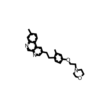 Cc1ccc2c(c1)ncc1ncc(CCc3ccc(OCCN4CCOCC4)cc3C)cc12